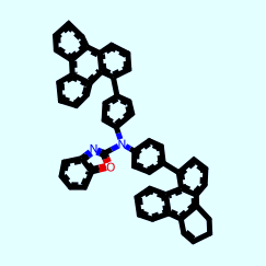 C1=Cc2c(c3cccc(-c4ccc(N(c5ccc(-c6cccc7c8ccccc8c8ccccc8c67)cc5)c5nc6ccccc6o5)cc4)c3c3ccccc23)CC1